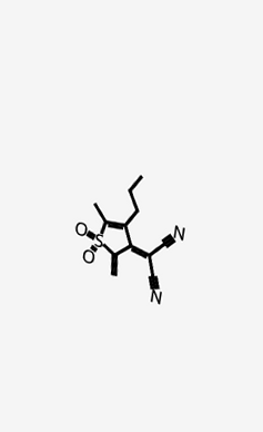 C=C1C(=C(C#N)C#N)C(CCC)=C(C)S1(=O)=O